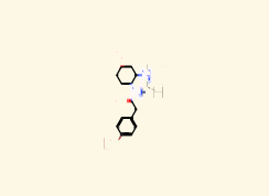 CN(C)C1CC(=O)CCC1N(C)C(=O)Cc1ccc(Br)cc1